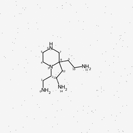 NCCN1CCNCC1(CCN)CCN